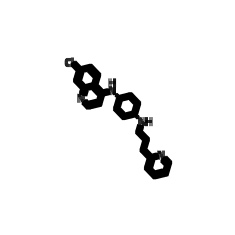 Clc1ccc2c(N[C@H]3CC[C@@H](NCCCc4ccccn4)CC3)ccnc2c1